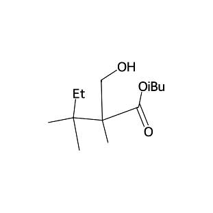 CCC(C)(C)C(C)(CO)C(=O)OCC(C)C